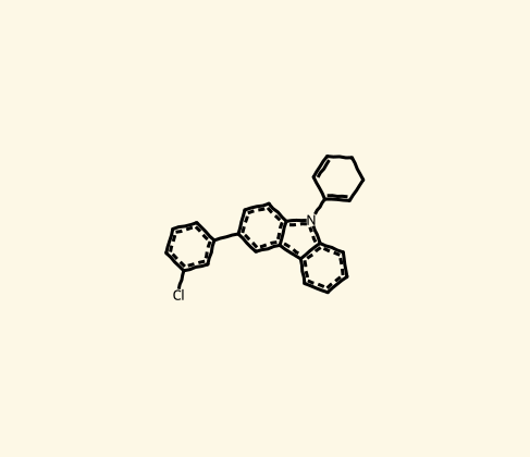 Clc1cccc(-c2ccc3c(c2)c2ccccc2n3C2=CCCC=C2)c1